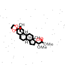 C#CC[C@]12CCC3(CC1=CC[C@@H]1[C@@H]2CC[C@@]2(C)[C@H]1CC[C@@]2(O)[C@@H](OC)C(=O)OC)OCCO3